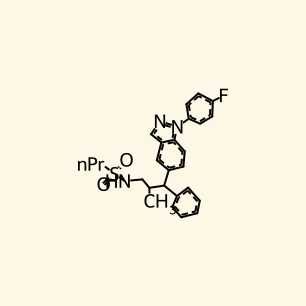 CCCS(=O)(=O)NCC(C)C(c1ccccc1)c1ccc2c(cnn2-c2ccc(F)cc2)c1